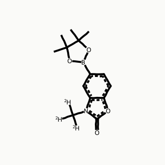 [2H]C([2H])([2H])n1c(=O)oc2ccc(B3OC(C)(C)C(C)(C)O3)cc21